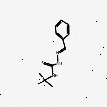 CC(C)(C)NC(=S)NN=Cc1ccccc1